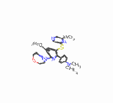 COc1cc(Sc2cncc([N+](=O)[O-])n2)c(-c2ccc(N(C)C)cc2)nc1N1CCOCC1